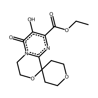 CCOC(=O)c1nc2n(c(=O)c1O)CCOC21CCOCC1